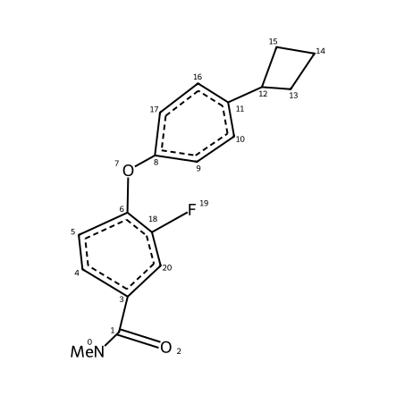 CNC(=O)c1ccc(Oc2ccc(C3CCC3)cc2)c(F)c1